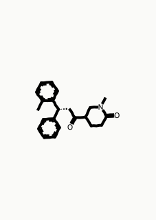 Cc1ccccc1[C@H](CC(=O)C1CCC(=O)N(C)C1)c1ccccc1